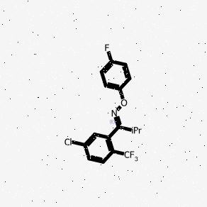 CC(C)/C(=N\Oc1ccc(F)cc1)c1cc(Cl)ccc1C(F)(F)F